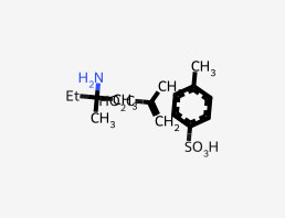 C=C(C)C(=O)O.CCC(C)(C)N.Cc1ccc(S(=O)(=O)O)cc1